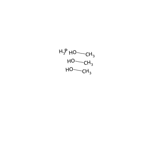 CO.CO.CO.P